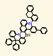 B1c2cccc3c2N(c2ccccc2C3(c2ccccc2)c2ccccc2)c2cc3ccccc3c(-c3ccc(-c4ccccc4)cc3Nc3cccc4c3CCc3ccccc3-4)c21